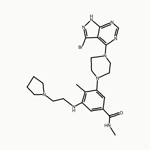 CNC(=O)c1cc(NCCN2CCCC2)c(C)c(N2CCN(c3ncnc4[nH]nc(Br)c34)CC2)c1